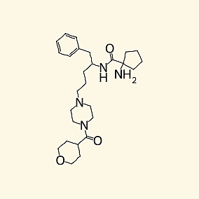 NC1(C(=O)NC(CCCN2CCN(C(=O)C3CCOCC3)CC2)Cc2ccccc2)CCCC1